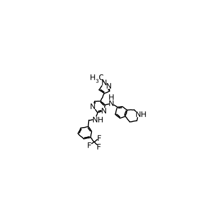 Cn1cc(-c2cnc(NCc3cccc(C(F)(F)F)c3)nc2Nc2ccc3c(c2)CNCC3)cn1